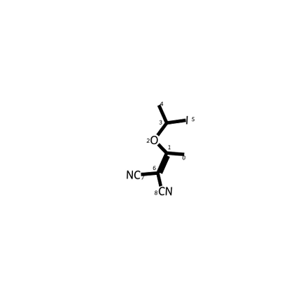 CC(OC(C)I)=C(C#N)C#N